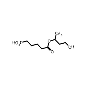 CC(CCO)OC(=O)CCCCC(=O)O